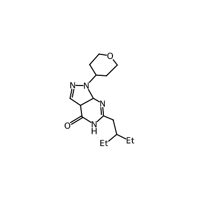 CCC(CC)CC1=NC2C(C=NN2C2CCOCC2)C(=O)N1